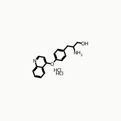 Cl.Cl.NC(CO)Cc1ccc(Oc2ccnc3ccccc23)cc1